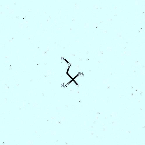 BC(C)(F)COC(C)C